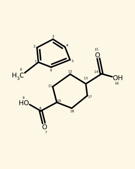 Cc1ccccc1.O=C(O)C1CCC(C(=O)O)CC1